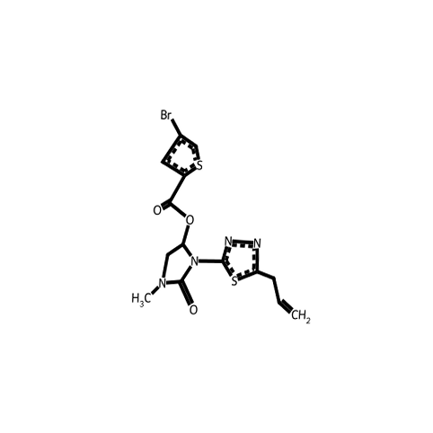 C=CCc1nnc(N2C(=O)N(C)CC2OC(=O)c2cc(Br)cs2)s1